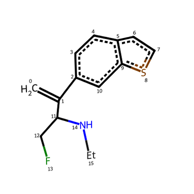 C=C(c1ccc2ccsc2c1)C(CF)NCC